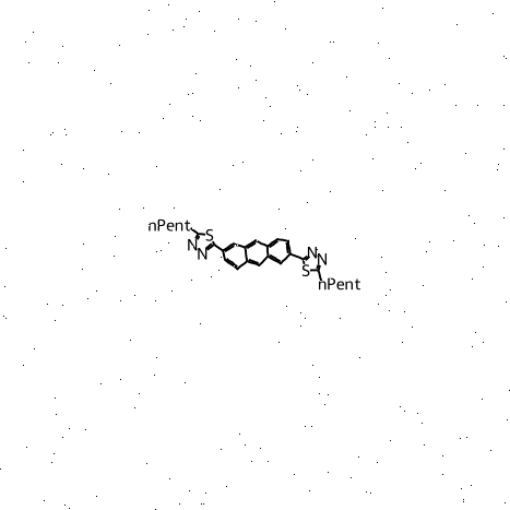 CCCCCc1nnc(-c2ccc3cc4cc(-c5nnc(CCCCC)s5)ccc4cc3c2)s1